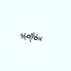 CCOc1cc(NC(=O)[C@@H](O)C(C)C)ccc1S(=O)(=O)Nc1cccc(OC(F)(F)F)c1F